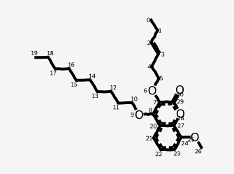 CCC=CCCOc1c(OCCCCCCCCCC)c2cccc(OC)c2oc1=O